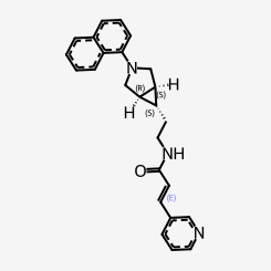 O=C(/C=C/c1cccnc1)NCC[C@@H]1[C@H]2CN(c3cccc4ccccc34)C[C@@H]12